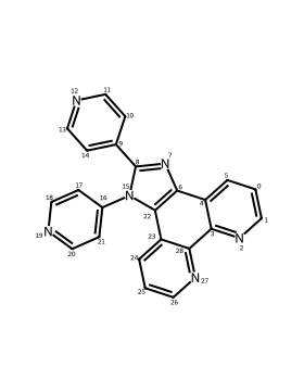 c1cnc2c(c1)c1nc(-c3ccncc3)n(-c3ccncc3)c1c1cccnc12